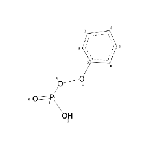 O=[P](O)OOc1ccccc1